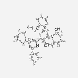 Cc1ccccc1-c1cc(-c2nc(-c3ccccc3)nc(-c3ccccc3)n2)c(C)c(-c2ccccc2C)c1